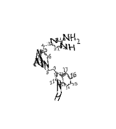 Nc1nc(Cc2cn(CCc3c[nH]c4ccccc34)nn2)c[nH]1